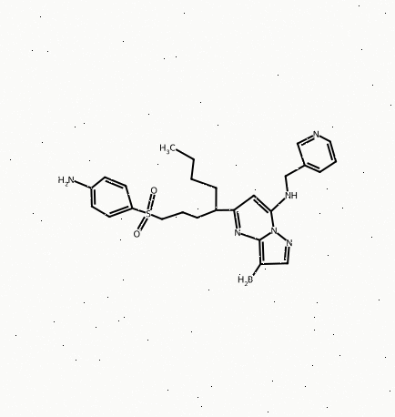 Bc1cnn2c(NCc3cccnc3)cc(C(CCCC)CCCS(=O)(=O)c3ccc(N)cc3)nc12